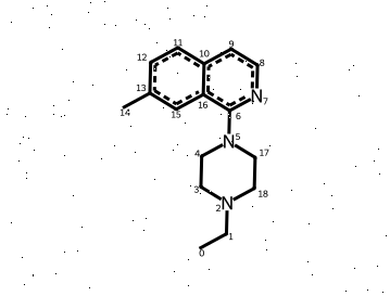 CCN1CCN(c2nccc3ccc(C)cc23)CC1